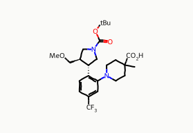 COC[C@H]1CN(C(=O)OC(C)(C)C)C[C@@H]1c1ccc(C(F)(F)F)cc1N1CCC(C)(C(=O)O)CC1